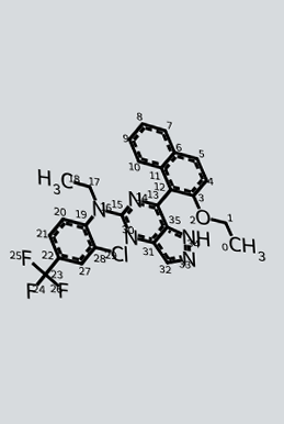 CCOc1ccc2ccccc2c1-c1nc(N(CC)c2ccc(C(F)(F)F)cc2Cl)nc2cn[nH]c12